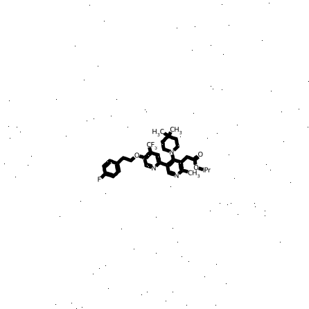 Cc1ncc(-c2cc(C(F)(F)F)c(OCCc3ccc(F)cc3)cn2)c(N2CCC(C)(C)CC2)c1CC(=O)OC(C)C